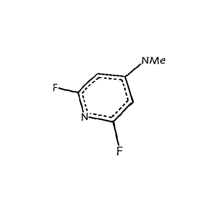 CNc1cc(F)nc(F)c1